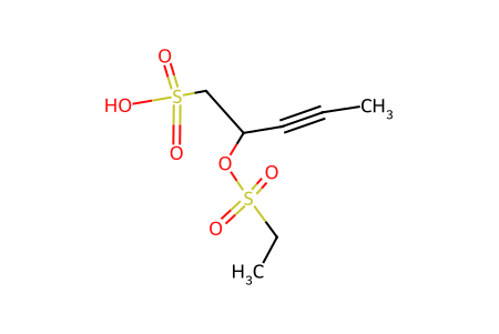 CC#CC(CS(=O)(=O)O)OS(=O)(=O)CC